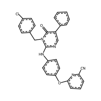 N#Cc1cccc(Oc2ccc(Nc3ncc(-c4ccccc4)c(=O)n3Cc3ccc(Cl)cc3)cc2)n1